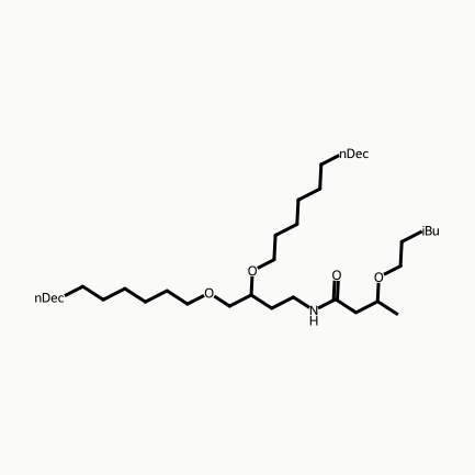 CCCCCCCCCCCCCCCCOCC(CCNC(=O)CC(C)OCCC(C)CC)OCCCCCCCCCCCCCCCC